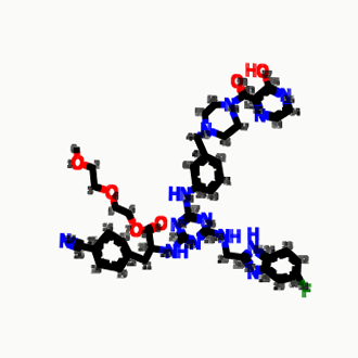 COCCOCCOC(=O)C(Cc1ccc(C#N)cc1)Nc1nc(NCc2nc3cc(F)ccc3[nH]2)nc(Nc2cccc(CN3CCN(C(=O)c4nccnc4O)CC3)c2)n1